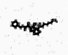 CCCCCCNc1ncnc2sc(C(=O)NCCC3CCCCC3)c(C)c12